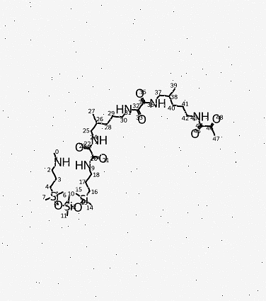 CNCCC[Si](C)(C)O[Si](C)(C)O[Si](C)(C)CCCNC(=O)C(=O)NCC(C)CCCNC(=O)C(=O)NCC(C)CCCNC(=O)C(C)=O